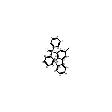 Cc1cc(P(=S)(c2ccccc2)c2ccccc2)c2sc3ccccc3c2c1